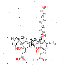 Cc1cc(CCC(=O)O)c(O)c(C(C)(C)C)c1.Cc1cc(CCC(=O)O)c(O)c(C(C)(C)C)c1.OCCOCCOCCO